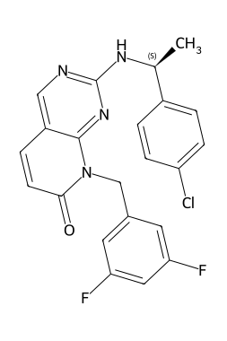 C[C@H](Nc1ncc2ccc(=O)n(Cc3cc(F)cc(F)c3)c2n1)c1ccc(Cl)cc1